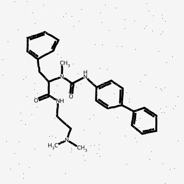 CN(C)CCNC(=O)C(Cc1ccccc1)N(C)C(=O)Nc1ccc(-c2ccccc2)cc1